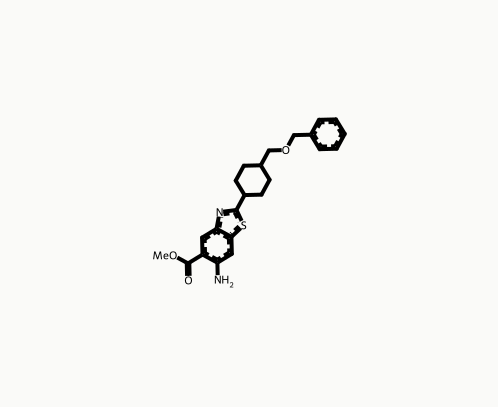 COC(=O)c1cc2nc(C3CCC(COCc4ccccc4)CC3)sc2cc1N